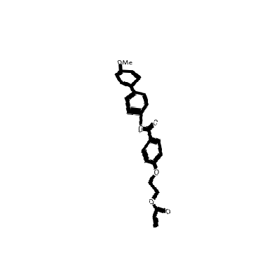 C=CC(=O)OCCOc1ccc(C(=O)Oc2ccc(-c3ccc(OC)cc3)cc2)cc1